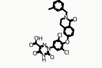 Cc1cccc(CN2CCc3cc(Oc4c(Cl)cc(-n5nc(C(=O)O)c(=O)[nH]c5=O)cc4Cl)ccc3C2=O)c1